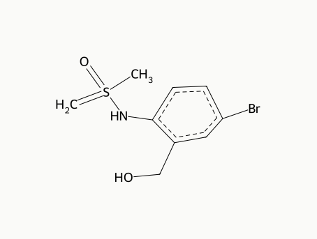 C=S(C)(=O)Nc1ccc(Br)cc1CO